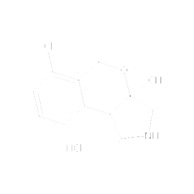 CC12CNCC1c1cccc(Cl)c1CO2.Cl